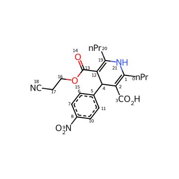 CCCC1=C(C(=O)O)C(c2ccc([N+](=O)[O-])cc2)C(C(=O)OCCC#N)=C(CCC)N1